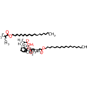 C=C(C)C(=O)O.C=C(C)C(=O)OCCCCCCCCCCCCCCCCCC.C=CC(=O)OC1CC2CCC1(C)C2(C)C.C=CC(=O)OCCCCCCCCCCCCCCCCCC